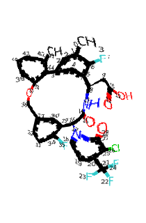 Cc1cc2cc(c1F)[C@@H](CC(=O)O)NC(=O)[C@H](n1ccc(C(F)(F)F)c(Cl)c1=O)c1cc(ccc1F)COc1cccc(C)c1-2